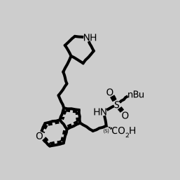 CCCCS(=O)(=O)N[C@@H](Cc1cc(CCCC2CCNCC2)c2coccc1-2)C(=O)O